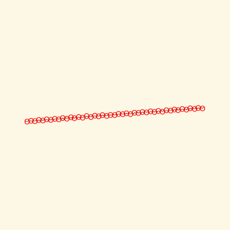 COCCOCCOCCOCCOCCOCCOCCOCCOCCOCCOCCOCCOCCOCCOCCOCCOCCOCCOCCOCCOCCOCCOCCOCCOCCOCCOCCOCCOCCOCCOCCOCCOCCOCCOCCOCCOCCOCCOCCOCCOCCOCCOCCOCCOC